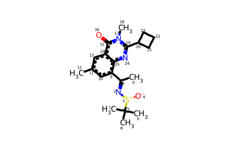 C/C(=N\[S@+]([O-])C(C)(C)C)c1cc(C)cc2c(=O)n(C)c(C3CCC3)nc12